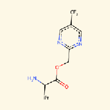 CC(C)C(N)C(=O)OCc1ncc(C(F)(F)F)cn1